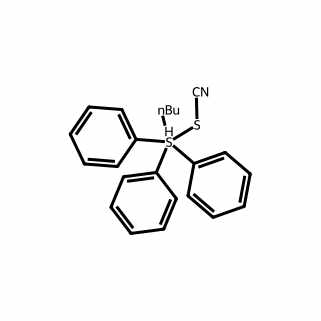 CCCC[SH](SC#N)(c1ccccc1)(c1ccccc1)c1ccccc1